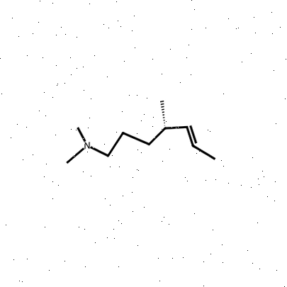 C/C=C/[C@@H](C)CCCN(C)C